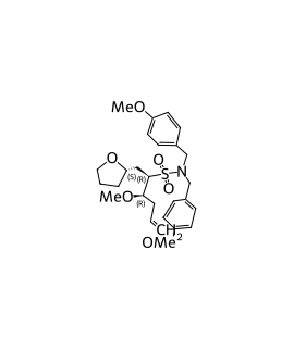 C=CC[C@@H](OC)[C@@H](C[C@@H]1CCCO1)S(=O)(=O)N(Cc1ccc(OC)cc1)Cc1ccc(OC)cc1